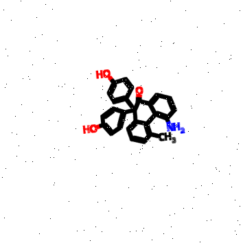 Cc1cccc2c1-c1c(N)cccc1C(=O)C2(c1ccc(O)cc1)c1ccc(O)cc1